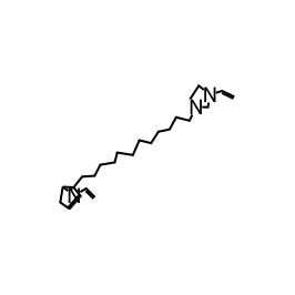 C=CN1CCN(CCCCCCCCCCCCc2cc3n(C=C)c2C3)C1